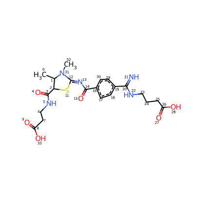 CC1C(C(=O)NCCC(=O)O)SC(=NC(=O)c2ccc(C(=N)NCCCC(=O)O)cc2)N1C